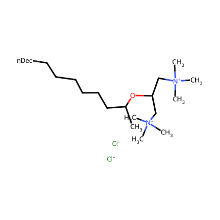 CCCCCCCCCCCCCCCCC(C)OC(C[N+](C)(C)C)C[N+](C)(C)C.[Cl-].[Cl-]